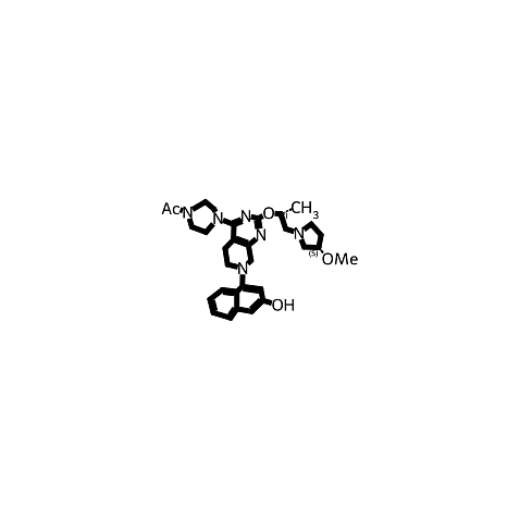 CO[C@H]1CCN(C[C@@H](C)Oc2nc3c(c(N4CCN(C(C)=O)CC4)n2)CCN(c2cc(O)cc4ccccc24)C3)C1